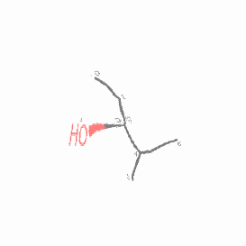 [CH2]C[C@H](O)C(C)C